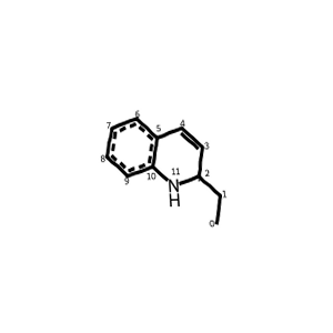 CC[C]1C=Cc2ccccc2N1